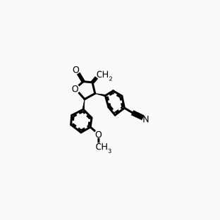 C=C1C(=O)O[C@H](c2cccc(OC)c2)[C@@H]1c1ccc(C#N)cc1